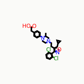 CC1CN(CCc2c(-c3c(Cl)cccc3Cl)noc2C2CC2)CCN1c1ccc(CC(=O)O)cc1